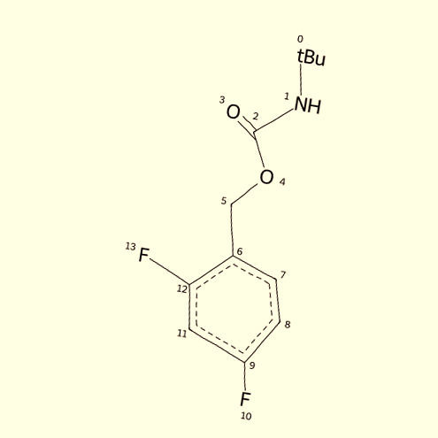 CC(C)(C)NC(=O)OCc1ccc(F)cc1F